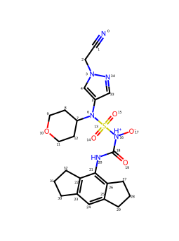 N#CCn1cc(N(C2CCOCC2)S(=O)(=O)[NH+]([O-])C(=O)Nc2c3c(cc4c2CCC4)CCC3)cn1